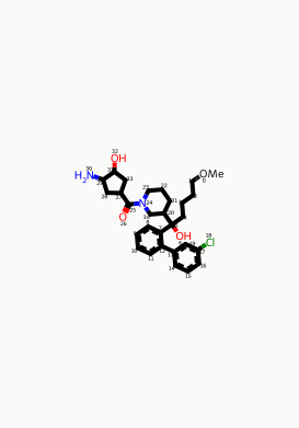 COCCCCC(O)(c1ccccc1-c1cccc(Cl)c1)C1CCCN(C(=O)C2CC(N)C(O)C2)C1